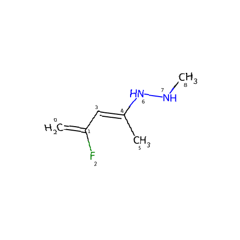 C=C(F)/C=C(\C)NNC